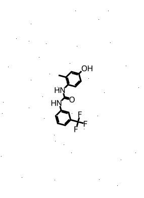 Cc1cc(O)ccc1NC(=O)Nc1cccc(C(F)(F)F)c1